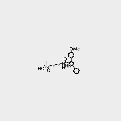 COc1ccc(-c2cc(-c3ccccc3)[nH]c2C(=O)NCCCCCC(=O)NO)cc1